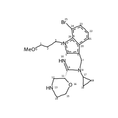 COCCCn1cc(CN(C(=N)[C@H]2CNCCO2)C2CC2)c2cccc(Br)c21